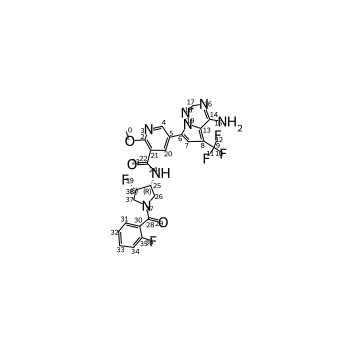 COc1ncc(-c2cc(C(F)(F)F)c3c(N)ncnn23)cc1C(=O)N[C@@H]1CN(C(=O)c2ccccc2F)C[C@@H]1F